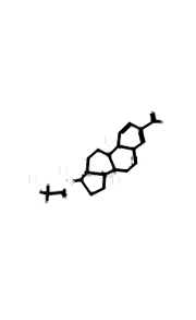 CC(C)(C)C(=O)NC1CC[C@H]2[C@@H]3CCC4C=C(C(=O)O)C=C[C@]4(C)[C@@H]3CC[C@]12C